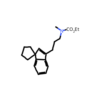 CCOC(=O)N(C)CCCC1=CC2(CCCC2)c2ccccc21